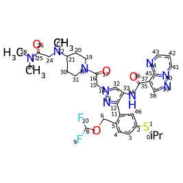 CC(C)Sc1ccc(COC(F)F)c(-c2nn(CC(=O)N3CCC(N(C)CC(=O)N(C)C)CC3)cc2NC(=O)c2cnn3cccnc23)c1